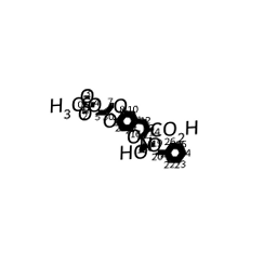 CS(=O)(=O)OCC1COc2cc(C[C@H](C(=O)O)C(=O)N(O)OCc3ccccc3)ccc2O1